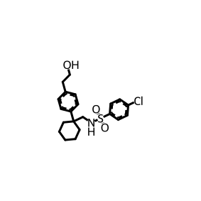 O=S(=O)(NCC1(c2ccc(CCO)cc2)CCCCC1)c1ccc(Cl)cc1